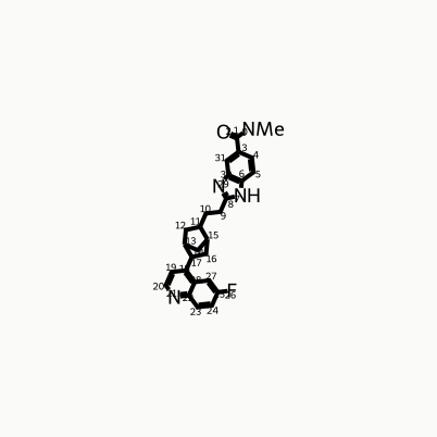 CNC(=O)c1ccc2[nH]c(CCC3CC4CC3CC4c3ccnc4ccc(F)cc34)nc2c1